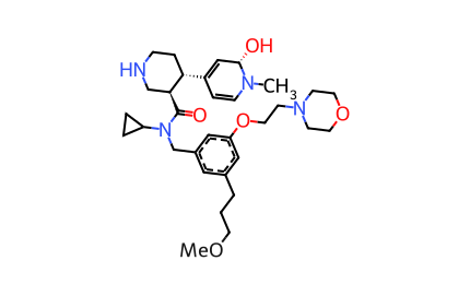 COCCCc1cc(CN(C(=O)[C@H]2CNCC[C@@H]2C2=C[C@H](O)N(C)C=C2)C2CC2)cc(OCCN2CCOCC2)c1